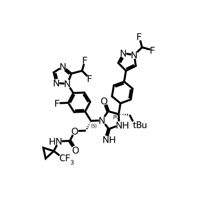 CC(C)(C)C[C@]1(C2C=CC(c3cnn(C(F)F)c3)=CC2)NC(=N)N([C@H](COC(=O)NC2(C(F)(F)F)CC2)c2ccc(-n3ncnc3C(F)F)c(F)c2)C1=O